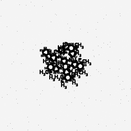 Cc1cc(C(C)(C)C)ccc1N(c1cc2c3c(c1)N(c1ccc4c(c1)C(C)(C)CCC4(C)C)c1cc4c(cc1B3c1cc3c(cc1N2c1ccc2c(c1)C(C)(C)CCC2(C)C)C(C)(C)CCC3(C)C)C(C)(C)CCC4(C)C)c1ccc2sc3ccccc3c2c1